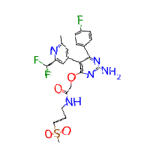 Cc1cc(-c2c(OCC(=O)NCCCS(C)(=O)=O)nc(N)nc2-c2ccc(F)cc2)cc(C(F)F)n1